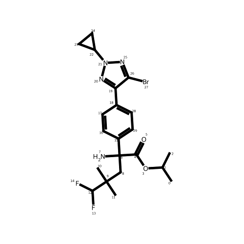 CC(C)OC(=O)C(N)(CC(C)(C)C(F)F)c1ccc(-c2nn(C3CC3)nc2Br)cc1